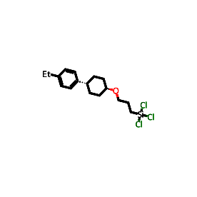 CCc1ccc([C@H]2CC[C@H](OCCC[Si](Cl)(Cl)Cl)CC2)cc1